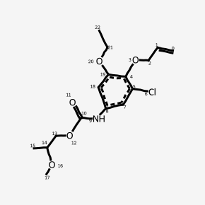 C=CCOc1c(Cl)cc(NC(=O)OCC(C)OC)cc1OCC